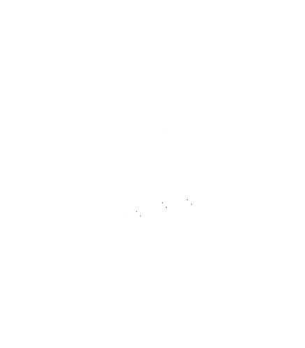 ON=Cn1ccnc1-c1ccc(Cl)cc1